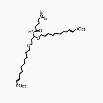 CCCCCCCCC=CCCCCCCCCOCCC(NC(=O)CCCN(CC)CC)OCCCCCCCCC=CCCCCCCCC